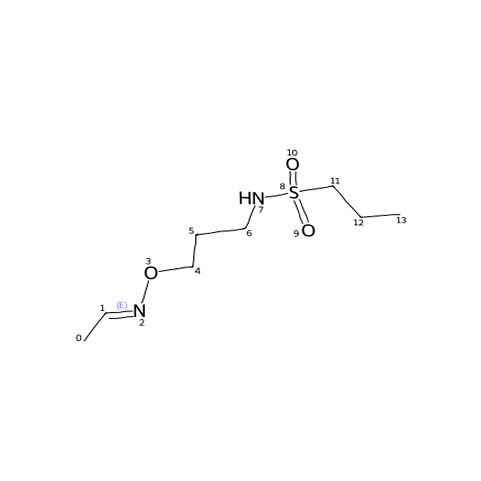 C/C=N/OCCCNS(=O)(=O)CCC